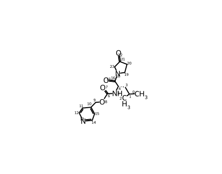 CC(C)C[C@H](NC(=O)OCc1ccncc1)C(=O)N1CCC(=O)C1